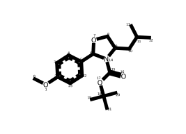 COc1ccc(C2OCC(CC(C)C)N2C(=O)OC(C)(C)C)cc1